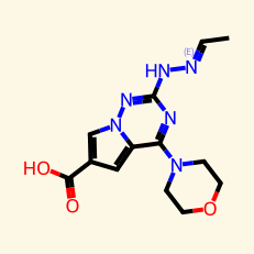 C/C=N/Nc1nc(N2CCOCC2)c2cc(C(=O)O)cn2n1